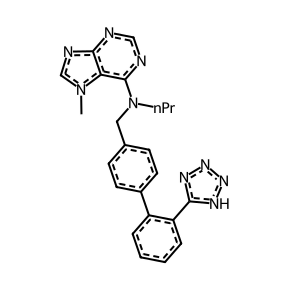 CCCN(Cc1ccc(-c2ccccc2-c2nnn[nH]2)cc1)c1ncnc2ncn(C)c12